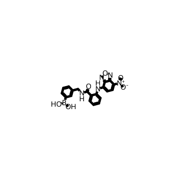 O=C(NCc1cccc(B(O)O)c1)c1ccccc1Nc1ccc([N+](=O)[O-])c2nonc12